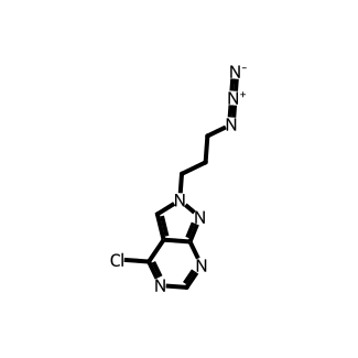 [N-]=[N+]=NCCCn1cc2c(Cl)ncnc2n1